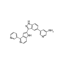 Nc1cncc(-c2ccc3[nH]nc(-c4cc5c(-c6cccnc6)nccc5[nH]4)c3c2)c1